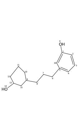 Oc1cccc(CC[CH]C2CCCC(O)C2)c1